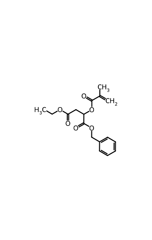 C=C(C)C(=O)OC(CC(=O)OCC)C(=O)OCc1ccccc1